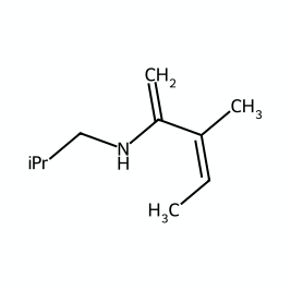 C=C(NCC(C)C)/C(C)=C\C